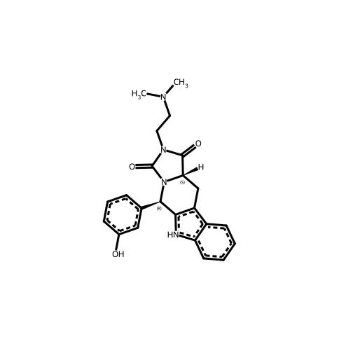 CN(C)CCN1C(=O)[C@@H]2Cc3c([nH]c4ccccc34)[C@@H](c3cccc(O)c3)N2C1=O